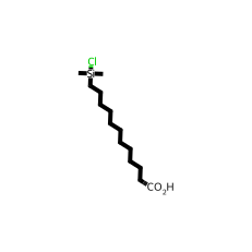 C[Si](C)(Cl)CCCCCCCCCCCC(=O)O